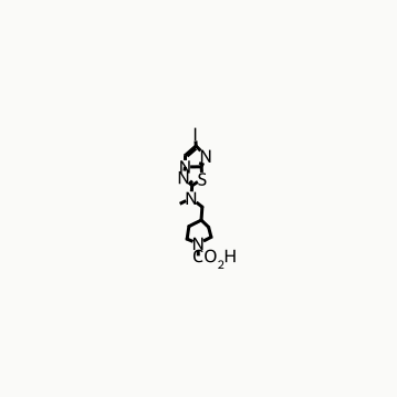 CN(CC1CCN(C(=O)O)CC1)c1nn2cc(I)nc2s1